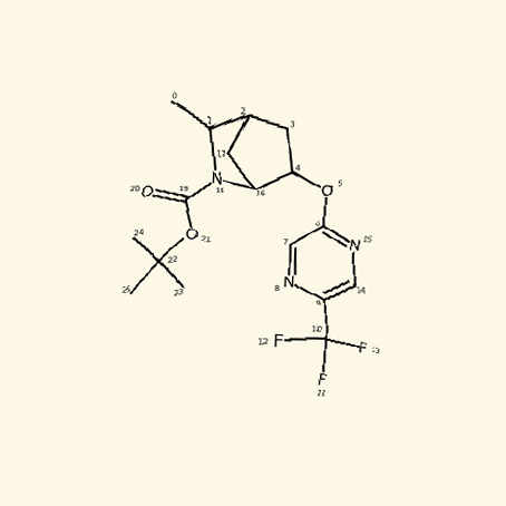 CC1C2CC(Oc3cnc(C(F)(F)F)cn3)C(C2)N1C(=O)OC(C)(C)C